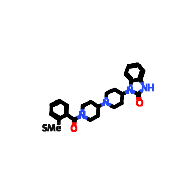 CSc1ccccc1C(=O)N1CCC(N2CCC(n3c(=O)[nH]c4ccccc43)CC2)CC1